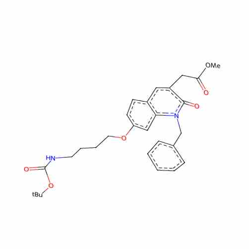 COC(=O)Cc1cc2ccc(OCCCCNC(=O)OC(C)(C)C)cc2n(Cc2ccccc2)c1=O